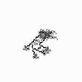 C[SiH2]O[Si](CCCOCC(O)CN(CCCS(=O)(=O)O)CCN(CCCS(=O)(=O)O)CCN(CCCS(=O)(=O)O)CCN(CCCS(=O)(=O)O)CC(O)COCCC[Si](O[SiH2]C)(O[SiH2]C)O[Si](O[SiH3])(O[SiH3])O[SiH2]C)(O[SiH3])O[SiH3]